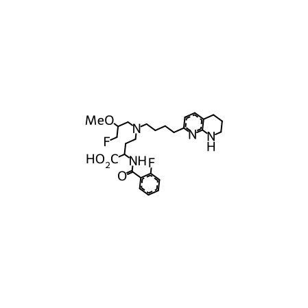 COC(CF)CN(CCCCc1ccc2c(n1)NCCC2)CCC(NC(=O)c1ccccc1F)C(=O)O